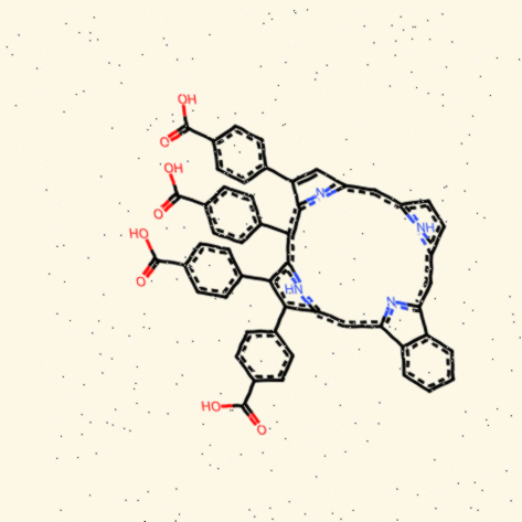 O=C(O)c1ccc(C2=Cc3cc4ccc(cc5nc(cc6[nH]c(c(-c7ccc(C(=O)O)cc7)c2n3)c(-c2ccc(C(=O)O)cc2)c6-c2ccc(C(=O)O)cc2)-c2ccccc2-5)[nH]4)cc1